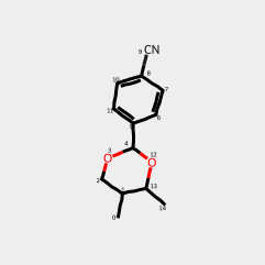 CC1COC(c2ccc(C#N)cc2)OC1C